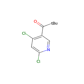 CC(C)(C)C(=O)c1cnc(Cl)cc1Cl